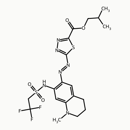 CC(C)COC(=O)c1nnc(N=Nc2cc3c(cc2NS(=O)(=O)CC(F)(F)F)N(C)CCC3)s1